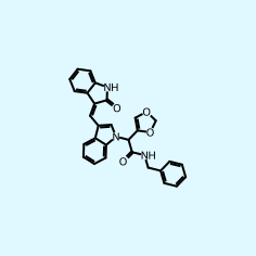 O=C1Nc2ccccc2C1=Cc1cn(C(C(=O)NCc2ccccc2)C2=COCO2)c2ccccc12